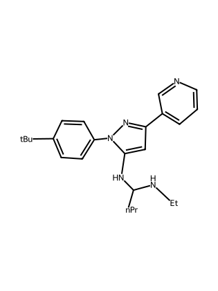 [CH2]CNC(CCC)Nc1cc(-c2cccnc2)nn1-c1ccc(C(C)(C)C)cc1